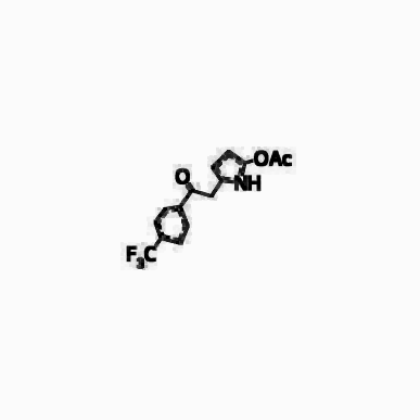 CC(=O)Oc1ccc(CC(=O)c2ccc(C(F)(F)F)cc2)[nH]1